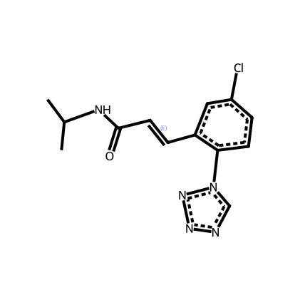 CC(C)NC(=O)/C=C/c1cc(Cl)ccc1-n1cnnn1